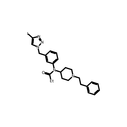 CCC(=O)N(c1cccc(Cn2cc(I)nn2)c1)C1CCN(CCc2ccccc2)CC1